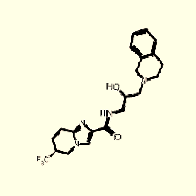 O=C(NCC(O)CN1CCc2ccccc2C1)c1cn2c(n1)CC[C@H](C(F)(F)F)C2